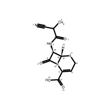 CC(C#N)C(=O)N[C@@H]1C(=O)N2C(C(=O)O)=CCS[C@@H]12